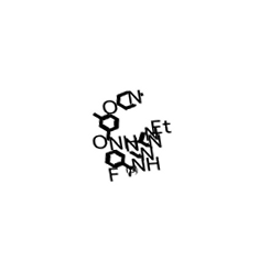 CCn1cc2ncc(N[C@@H](C)c3cc(NC(=O)c4ccc(OC5CCN(C)CC5)c(C)c4)ccc3F)nc2n1